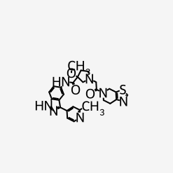 COC1(C(=O)Nc2ccc3[nH]nc(-c4ccnc(C)c4)c3c2)CCN(CC(=O)N2CCc3ncsc3C2)C1